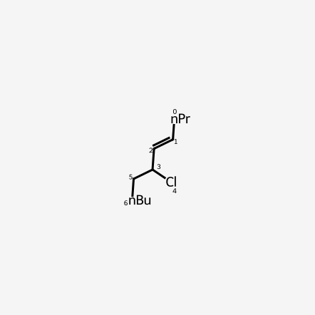 CCCC=CC(Cl)CCCCC